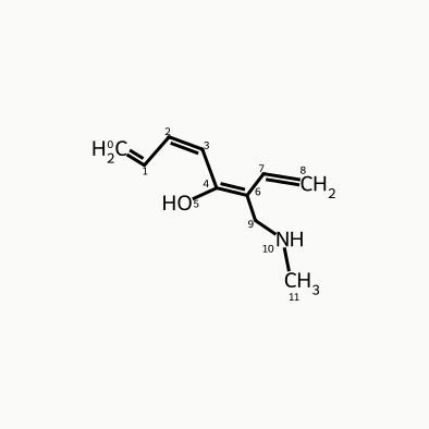 C=C/C=C\C(O)=C(/C=C)CNC